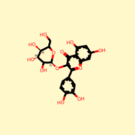 O=c1c(O[C@@H]2OC(CO)[C@H](O)[C@@H](O)C2O)c(-c2ccc(O)c(O)c2)oc2cc(O)cc(O)c12